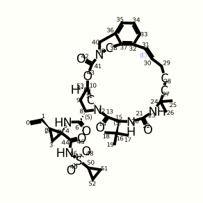 C=C[C@@H]1C[C@]1(NC(=O)[C@@H]1C[C@@H]2CN1C(=O)[C@H](C(C)(C)C)NC(=O)NC(C)(C)CCC/C=C/c1cccc3c1CN(C3)C(=O)O2)C(=O)NS(=O)(=O)C1CC1